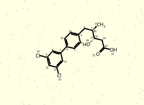 C[C@H](Cc1ccc(-c2cc(Cl)cc(Cl)c2)cc1)[C@@H](O)CC(=O)O